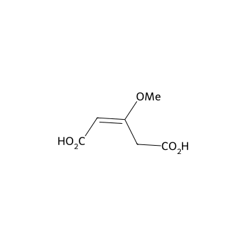 CO/C(=C/C(=O)O)CC(=O)O